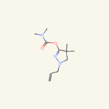 C=CCN1CC(C)(C)C(OC(=O)N(C)C)=N1